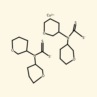 S=C([S-])N(C1CCCOC1)C1CCCOC1.S=C([S-])N(C1CCCOC1)C1CCCOC1.[Cu+2]